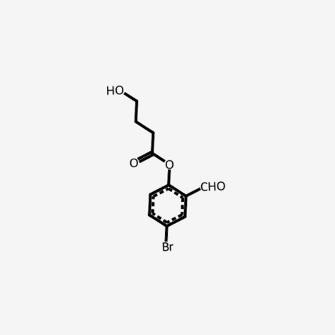 O=Cc1cc(Br)ccc1OC(=O)CCCO